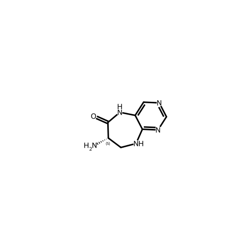 N[C@H]1CNc2ncncc2NC1=O